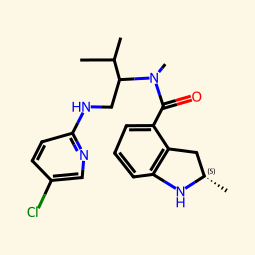 CC(C)C(CNc1ccc(Cl)cn1)N(C)C(=O)c1cccc2c1C[C@H](C)N2